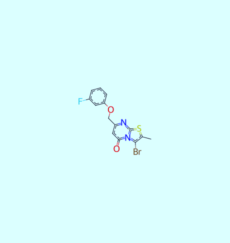 Cc1sc2nc(COc3cccc(F)c3)cc(=O)n2c1Br